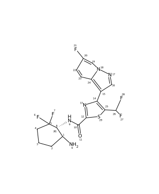 NC1CCCC(F)(F)[C@@H]1NC(=O)c1nc(-c2cnn3cc(F)ccc23)c(C(F)F)s1